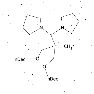 CCCCCCCCCCOCC(C)(COCCCCCCCCCC)C(N1CCCC1)N1CCCC1